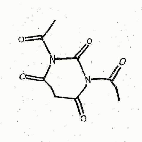 CC(=O)N1C(=O)CC(=O)N(C(C)=O)C1=O